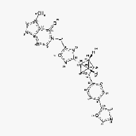 Cn1cnc2ncn(Cc3nc([C@]45C6=C(c7ccc(-c8cnco8)cc7)C[C@@H]4[C@H]65)no3)c(=O)c21